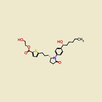 CCCCC[C@@H](O)c1ccc(N2C(=O)CC[C@@H]2CCCc2ccc(C(=O)OCCO)s2)cc1